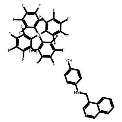 Fc1c(F)c(F)c([B-](c2c(F)c(F)c(F)c(F)c2F)(c2c(F)c(F)c(F)c(F)c2F)c2c(F)c(F)c(F)c(F)c2F)c(F)c1F.Oc1ccc([SH+]Cc2cccc3ccccc23)cc1